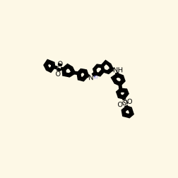 O=S(=O)(c1ccccc1)c1ccc(-c2ccc(/N=C3/C=C4C=C(Nc5ccc(-c6ccc(S(=O)(=O)c7ccccc7)cc6)cc5)CCC4CC3)cc2)cc1